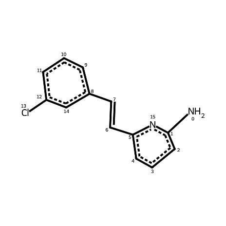 Nc1cccc(C=Cc2cccc(Cl)c2)n1